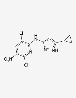 O=[N+]([O-])c1cc(Cl)c(Nc2cc(C3CC3)[nH]n2)nc1Cl